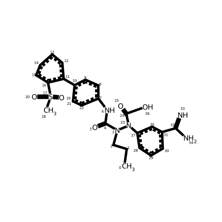 CCCN(C(=O)Nc1ccc(-c2ccccc2S(C)(=O)=O)cc1)N(C(=O)O)c1cccc(C(=N)N)c1